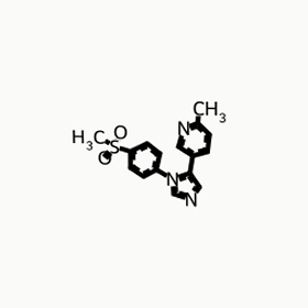 Cc1ccc(-c2cncn2-c2ccc(S(C)(=O)=O)cc2)cn1